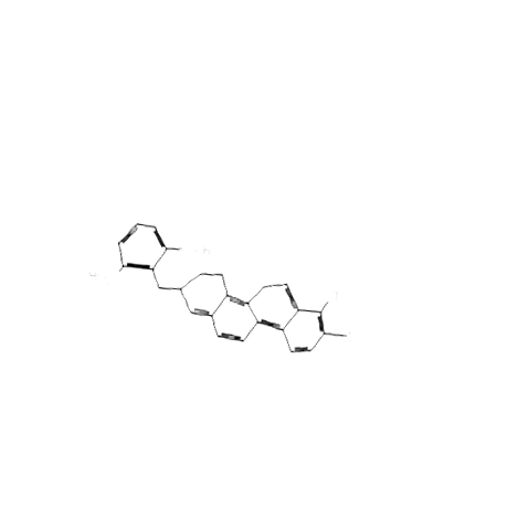 O=C(O)c1cccc(C(=O)O)c1CC1C=c2ccc3c(c2CC1)CC=c1c(Cl)c(Cl)ccc1=3